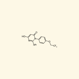 CCCc1nc(O)cc(=O)n1-c1ccc(OCC(F)(F)F)cc1